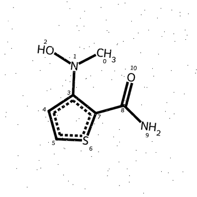 CN(O)c1ccsc1C(N)=O